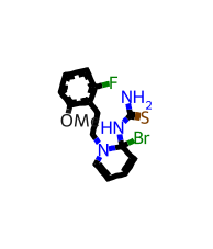 COc1cccc(F)c1CCN1C=CC=CC1(Br)NC(N)=S